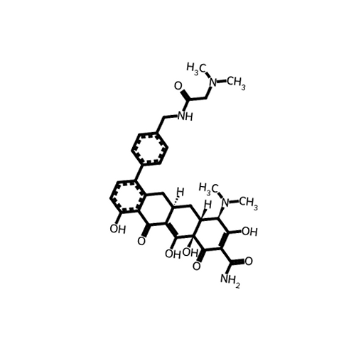 CN(C)CC(=O)NCc1ccc(-c2ccc(O)c3c2C[C@H]2C[C@@H]4[C@@H](N(C)C)C(O)=C(C(N)=O)C(=O)[C@]4(O)C(O)=C2C3=O)cc1